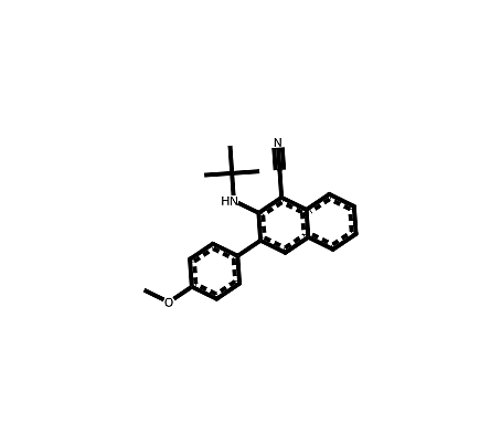 COc1ccc(-c2cc3ccccc3c(C#N)c2NC(C)(C)C)cc1